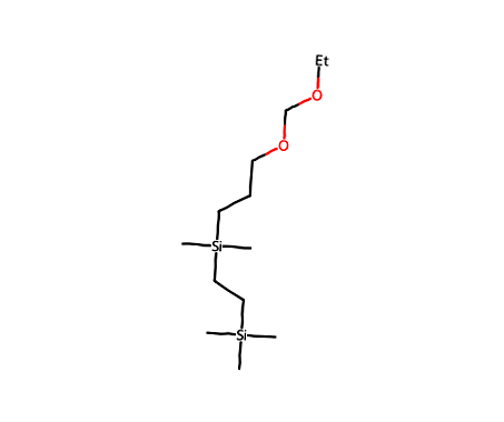 CCOCOCCC[Si](C)(C)CC[Si](C)(C)C